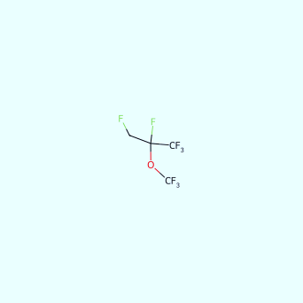 FCC(F)(OC(F)(F)F)C(F)(F)F